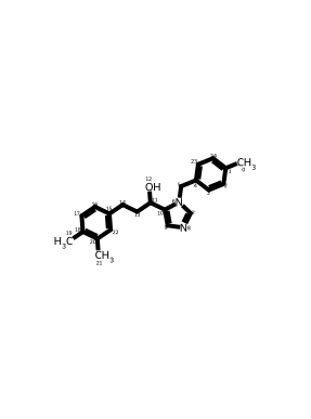 Cc1ccc(Cn2cncc2C(O)CCc2ccc(C)c(C)c2)cc1